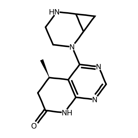 C[C@@H]1CC(=O)Nc2ncnc(N3CCNC4CC43)c21